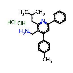 Cc1ccc(-c2cc(-c3ccccc3)nc(CC(C)C)c2CN)cc1.Cl.Cl